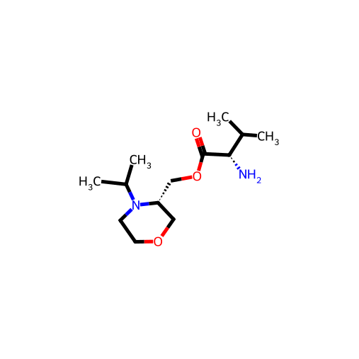 CC(C)[C@H](N)C(=O)OC[C@@H]1COCCN1C(C)C